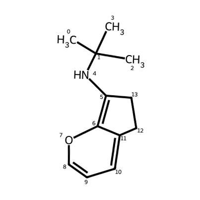 CC(C)(C)NC1=C2OC=CC=C2CC1